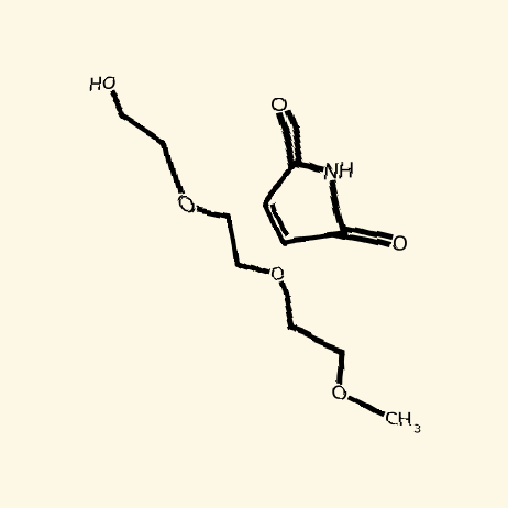 COCCOCCOCCO.O=C1C=CC(=O)N1